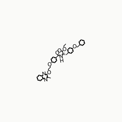 CCOC(=O)[C@H](Cc1ccc(OCc2ccccc2)cc1)NC(=O)c1ccc(OCCOc2nc3ccccc3nc2C)cc1